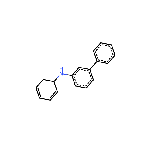 C1=CCC(Nc2cccc(-c3ccccc3)c2)C=C1